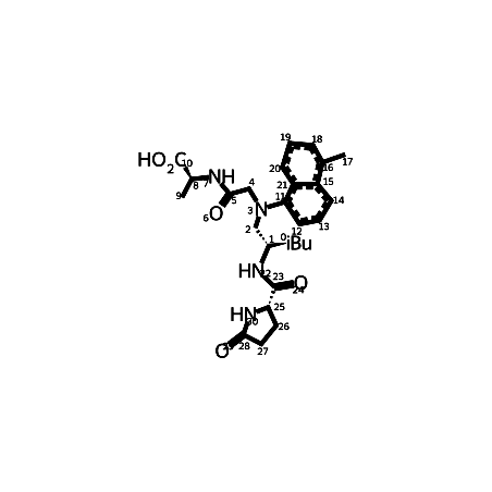 CC[C@H](C)[C@@H](CN(CC(=O)N[C@@H](C)C(=O)O)c1cccc2c(C)cccc12)NC(=O)[C@@H]1CCC(=O)N1